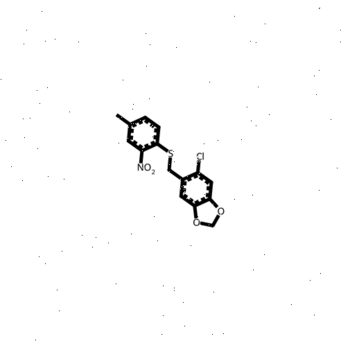 Cc1ccc(SCc2cc3c(cc2Cl)OCO3)c([N+](=O)[O-])c1